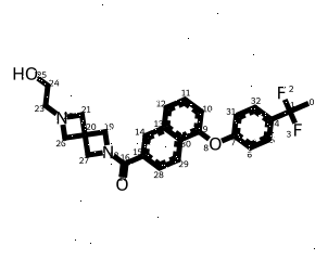 CC(F)(F)c1ccc(Oc2cccc3cc(C(=O)N4CC5(CN(CCO)C5)C4)ccc23)cc1